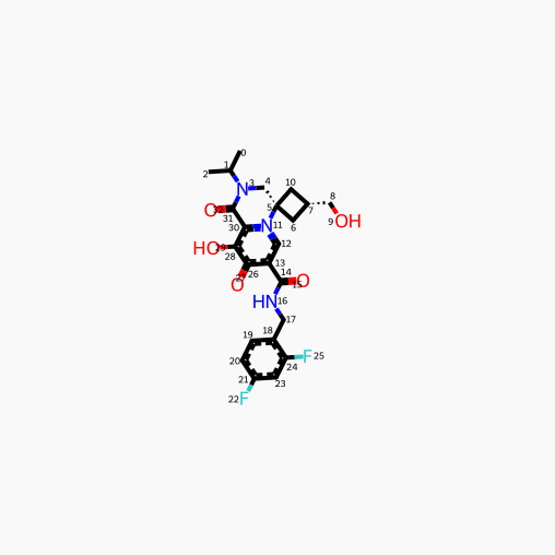 CC(C)N1C[C@]2(C[C@@H](CO)C2)n2cc(C(=O)NCc3ccc(F)cc3F)c(=O)c(O)c2C1=O